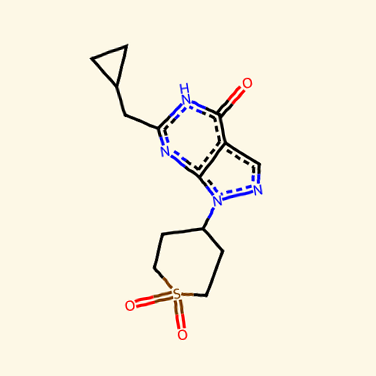 O=c1[nH]c(CC2CC2)nc2c1cnn2C1CCS(=O)(=O)CC1